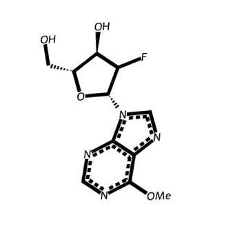 COc1ncnc2c1ncn2[C@@H]1O[C@H](CO)[C@@H](O)C1F